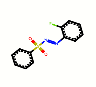 O=S(=O)(N=Nc1ccccc1F)c1ccccc1